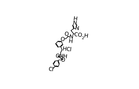 Cl.O=C(COc1cccc(CCNS(=O)(=O)c2ccc(Cl)cc2)c1)N[C@@H](Cc1c[nH]cn1)C(=O)O